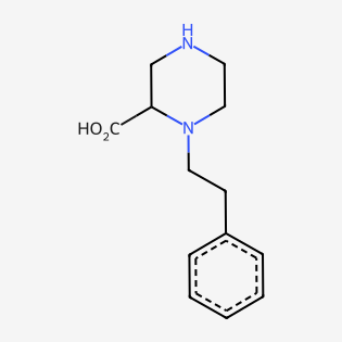 O=C(O)C1CNCCN1CCc1ccccc1